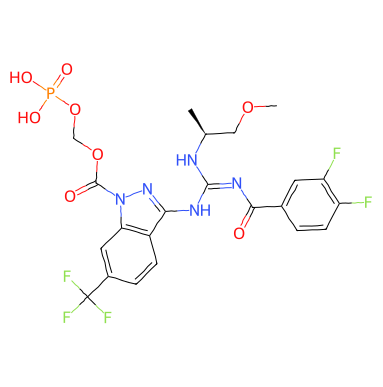 COC[C@H](C)N/C(=N/C(=O)c1ccc(F)c(F)c1)Nc1nn(C(=O)OCOP(=O)(O)O)c2cc(C(F)(F)F)ccc12